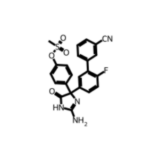 CS(=O)(=O)Oc1ccc(C2(c3ccc(F)c(-c4cccc(C#N)c4)c3)N=C(N)NC2=O)cc1